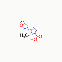 CCn1c(C(=O)O)cnc1NCC1CCO1